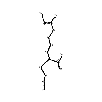 CCCCC(CCCCC(C)CC)[C](C)C